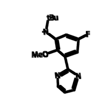 COc1c([N]C(C)(C)C)cc(F)cc1-c1ncccn1